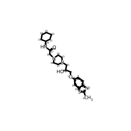 Cc1nc2ccc(OC[C@H](O)CN3CCN(CC(=O)NC4CCCCC4)CC3)cc2s1